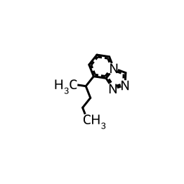 CCCC(C)c1cccn2cnnc12